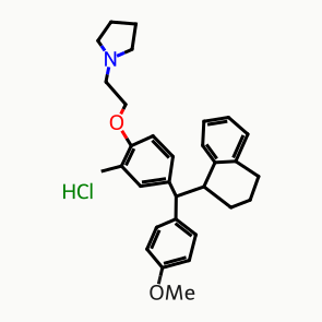 COc1ccc(C(c2ccc(OCCN3CCCC3)c(C)c2)C2CCCc3ccccc32)cc1.Cl